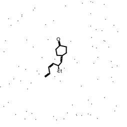 C=C/C=C\C(C=C1CCC(=O)CC1)CC